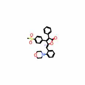 CS(=O)(=O)c1ccc(C2=C(c3ccccc3)C(=O)O/C2=C\c2ccccc2N2CCOCC2)cc1